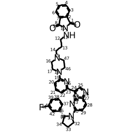 O=C1c2ccccc2C(=O)N1NCCCN1CCN(c2cccc(-c3cnc4ccc(N5CCC[C@@H]5c5cccc(F)c5)nn34)n2)CC1